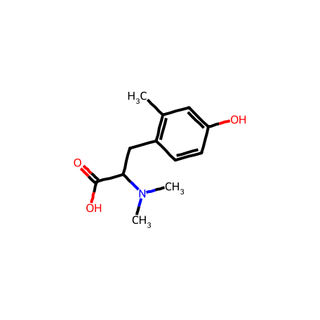 Cc1cc(O)ccc1CC(C(=O)O)N(C)C